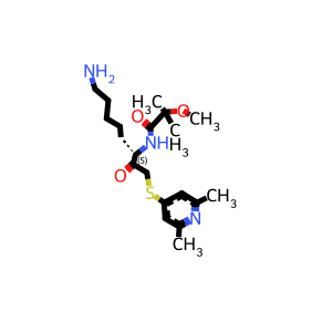 COC(C)(C)C(=O)N[C@@H](CCCCCN)C(=O)CSc1cc(C)nc(C)c1